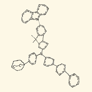 CC1(C)c2cc(N(c3ccc(-c4ccc(-c5ccccc5)cc4)cc3)c3ccc(C45CCC(CC4)CC5)cc3)ccc2-c2ccc(-n3c4ccccc4c4ccccc43)cc21